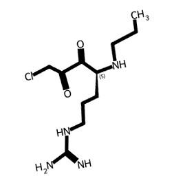 CCCN[C@@H](CCCNC(=N)N)C(=O)C(=O)CCl